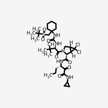 CCC[C@H](NC(=O)[C@@H]1[C@@H]2[C@H](CN1C(=O)[C@@H](NC(=O)NC1(CS(=O)(=O)C(C)(C)C)CCCCC1)C(C)(C)C)C2(Cl)Cl)C(=O)C(=O)NC1CC1